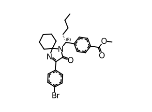 CCCC[C@H](c1ccc(C(=O)OC)cc1)N1C(=O)C(c2ccc(Br)cc2)=NC12CCCCC2